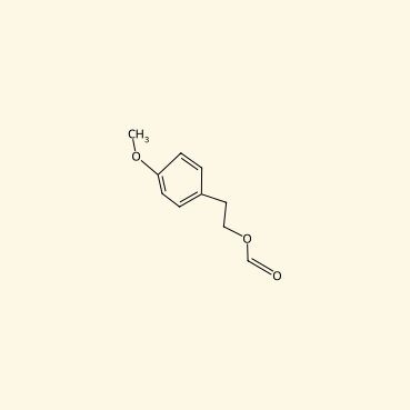 COc1ccc(CCOC=O)cc1